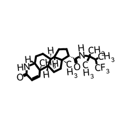 CC(C(F)(F)F)C(C)(C)NC(=O)[C@H]1CC[C@H]2[C@@H]3CC[C@H]4NC(=O)C=C[C@]4(C)[C@H]3CC[C@]12C